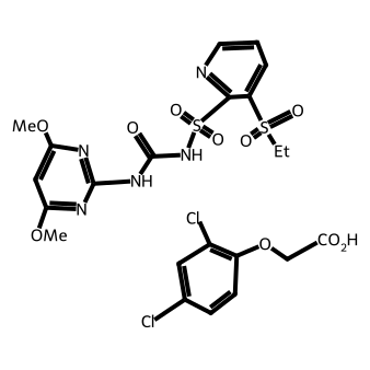 CCS(=O)(=O)c1cccnc1S(=O)(=O)NC(=O)Nc1nc(OC)cc(OC)n1.O=C(O)COc1ccc(Cl)cc1Cl